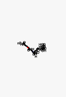 CCCCC(=O)NCCCCCC(=O)NC/C=C/c1cn([C@H]2CC[C@@H](COP(=O)(O)OP(=O)(O)OP(=O)(O)O)O2)c(=O)[nH]c1=O